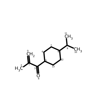 C=C(C)C(=O)C1CCC(C(C)C)CC1